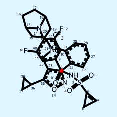 O=C(NS(=O)(=O)C1=CC1)c1cc(F)c(N2C3CCC2CC(NCc2c(-c4ccccc4OC(F)(F)F)noc2C2CC2)C3)c(F)c1